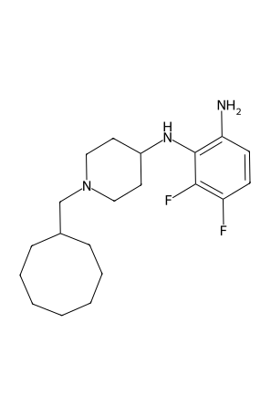 Nc1ccc(F)c(F)c1NC1CCN(CC2CCCCCCC2)CC1